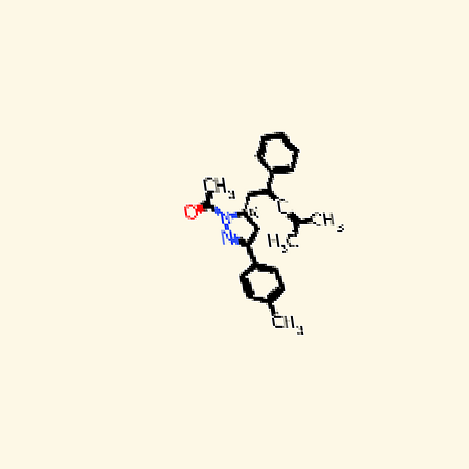 CC(=O)N1N=C(c2ccc(C)cc2)C[C@@H]1CC(=C=C(C)C)c1ccccc1